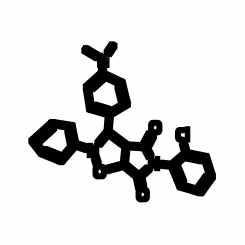 CN(C)c1ccc(C2C3C(=O)N(c4ccccc4Cl)C(=O)C3ON2c2ccccc2)cc1